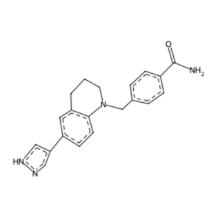 NC(=O)c1ccc(CN2CCCc3cc(-c4cn[nH]c4)ccc32)cc1